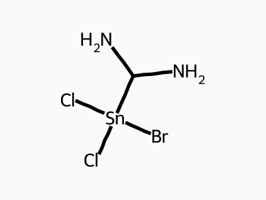 N[CH](N)[Sn]([Cl])([Cl])[Br]